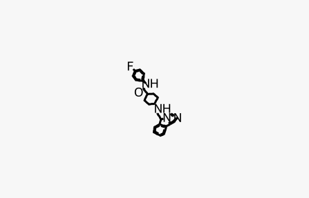 O=C(Nc1ccc(F)cc1)C1CCC(NCC2c3ccccc3-c3cncn32)CC1